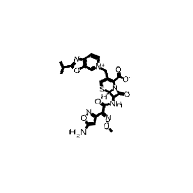 CON=C(C(=O)NC1C(=O)N2C(C(=O)[O-])=C(C[n+]3ccc4nc(C(C)C)oc4c3)CS[C@@H]12)c1cc(N)on1